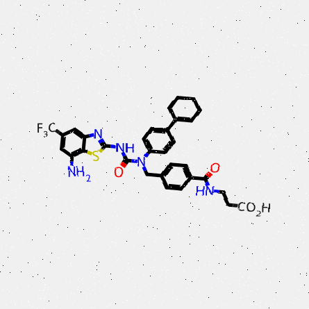 Nc1cc(C(F)(F)F)cc2nc(NC(=O)N(Cc3ccc(C(=O)NCCC(=O)O)cc3)c3ccc(C4=CCCCC4)cc3)sc12